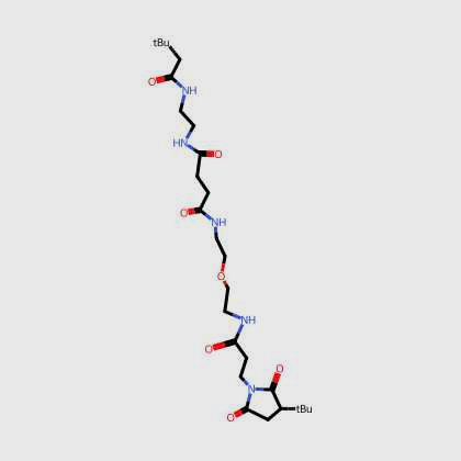 CC(C)(C)CC(=O)NCCNC(=O)CCC(=O)NCCOCCNC(=O)CCN1C(=O)CC(C(C)(C)C)C1=O